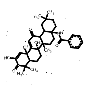 CC1(C)CCC2(NC(=O)c3ccccc3)CCC3(C)C(C(=O)C=C4C5(C)C=C(C#N)C(=O)C(C)(C)C5CCC43C)C2C1